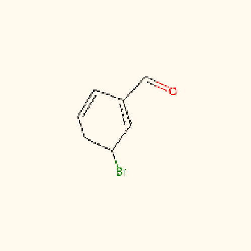 O=CC1=CC(Br)CC=C1